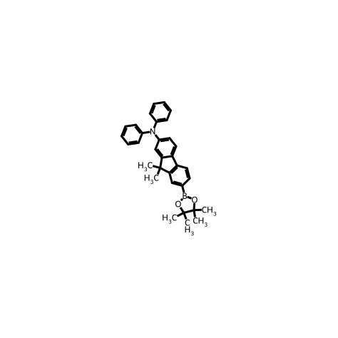 CC1(C)c2cc(B3OC(C)(C)C(C)(C)O3)ccc2-c2ccc(N(c3ccccc3)c3ccccc3)cc21